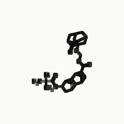 CCC(C)(C)C(=O)OC1CC2CC1C1C3CC(CC3C(=O)OCOC34CC5CC(CC(C5)C3=O)C4)C21